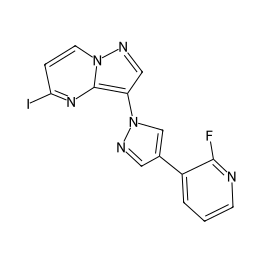 Fc1ncccc1-c1cnn(-c2cnn3ccc(I)nc23)c1